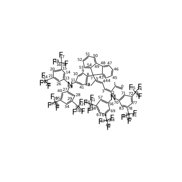 C=C/C(=C\C=C(/C)C1(c2ccc(N(c3cc(C(F)(F)F)cc(C(F)(F)F)c3)c3cc(C(F)(F)F)cc(C(F)(F)F)c3)cc2)c2ccccc2-c2ccccc21)N(c1cc(C(F)(F)F)cc(C(F)(F)F)c1)c1cc(C(F)(F)F)cc(C(F)(F)F)c1